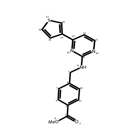 COC(=O)c1ccc(CNc2nccc(-c3ccsc3)n2)cc1